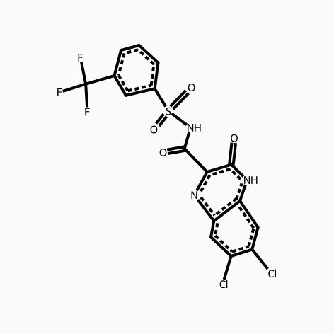 O=C(NS(=O)(=O)c1cccc(C(F)(F)F)c1)c1nc2cc(Cl)c(Cl)cc2[nH]c1=O